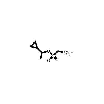 CC(OS(=O)(=O)CS(=O)(=O)O)C1CC1